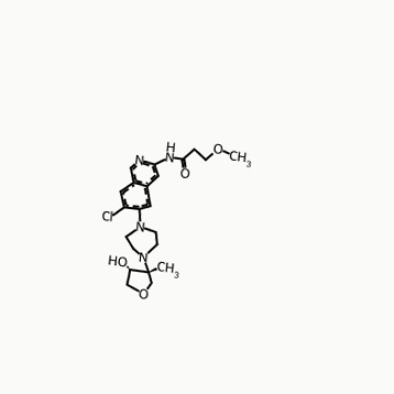 COCCC(=O)Nc1cc2cc(N3CCN([C@]4(C)COC[C@@H]4O)CC3)c(Cl)cc2cn1